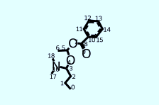 CCCC(OC(C)OC(=O)c1ccccc1)N(C)C